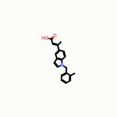 CC(=CC(=O)O)c1ccc2c(ccn2Cc2ccccc2C)c1